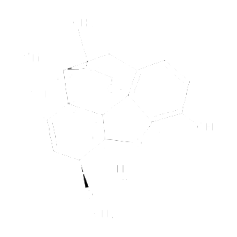 C.CN1CC[C@]23c4c5ccc(O)c4O[C@H]2[C@@H](O)C=C[C@H]3[C@H]1C5